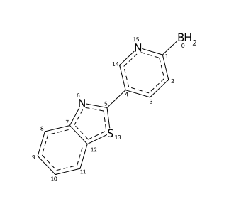 Bc1ccc(-c2nc3ccccc3s2)cn1